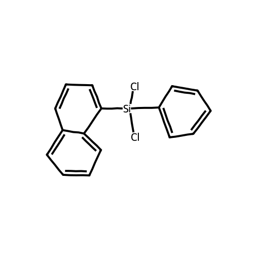 Cl[Si](Cl)(c1ccccc1)c1cccc2ccccc12